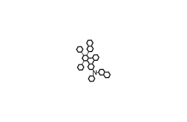 c1ccc(-c2cc(-c3ccccc3)c3c4ccc(N(c5ccccc5)c5ccc6ccccc6c5)cc4c4ccccc4c3c2-c2ccc3ccccc3c2)cc1